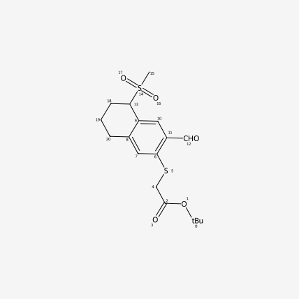 CC(C)(C)OC(=O)CSc1cc2c(cc1C=O)C(S(C)(=O)=O)CCC2